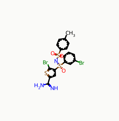 Cc1ccc(S(=O)(=O)N=S(=O)(c2cccc(Br)c2)c2cc(C(=N)N)sc2Br)cc1